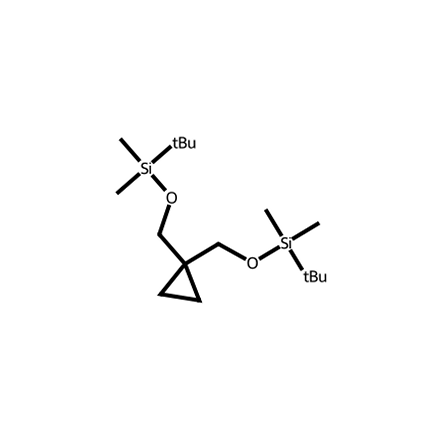 CC(C)(C)[Si](C)(C)OCC1(CO[Si](C)(C)C(C)(C)C)CC1